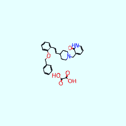 O=C(O)C(=O)O.O=c1[nH]cccc1CN1CCC(C=Cc2ccccc2OCc2ccccc2)CC1